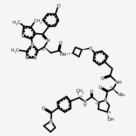 Cc1sc2c(c1C)C(c1ccc(Cl)cc1)=N[C@@H](CC(=O)N[C@H]1C[C@H](Oc3ccc(CC(=O)N[C@H](C(=O)N4C[C@H](O)C[C@H]4C(=O)N[C@@H](C)c4ccc(C(=O)N5CCC5)cc4)C(C)(C)C)cc3)C1)c1nnc(C)n1-2